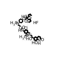 COc1cc(NC(=O)OCCN(C)C2CCC(OC(=O)C(O)(c3cccs3)c3cccs3)CC2)c(Cl)cc1CNC[C@@H](O)c1cc(O)c2[nH]c(=O)ccc2c1.F